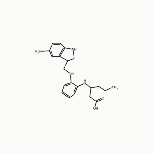 Bc1ccc2c(c1)C(CNc1ccccc1NC(CCC)CC(=O)O)CN2